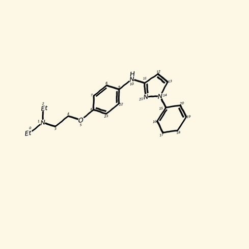 CCN(CC)CCOc1ccc(Nc2ccn(C3=CCCC=C3)n2)cc1